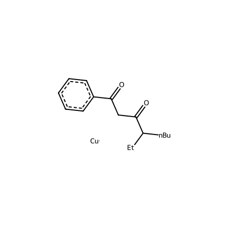 CCCCC(CC)C(=O)CC(=O)c1ccccc1.[Cu]